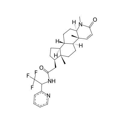 CN1C(=O)C=C[C@]2(C)[C@H]3CC[C@]4(C)[C@@H](CC(=O)NC(c5ccccn5)C(F)(F)F)CC[C@H]4[C@@H]3CC[C@@H]12